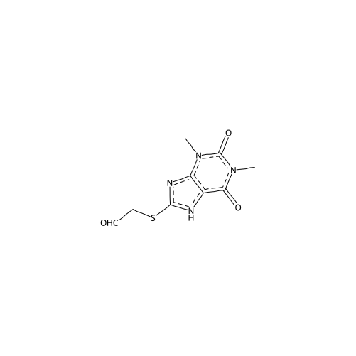 Cn1c(=O)c2[nH]c(SCC=O)nc2n(C)c1=O